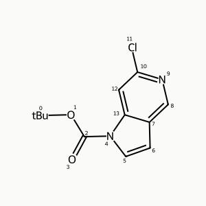 CC(C)(C)OC(=O)n1ccc2cnc(Cl)cc21